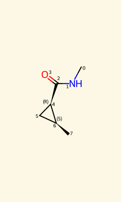 CNC(=O)[C@@H]1C[C@@H]1C